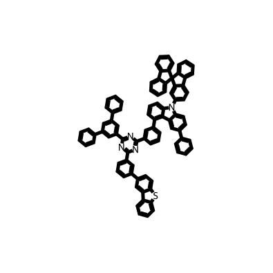 c1ccc(-c2cc(-c3ccccc3)cc(-c3nc(-c4cccc(-c5ccc6sc7ccccc7c6c5)c4)nc(-c4cccc(-c5cccc6c5c5cc(-c7ccccc7)ccc5n6-c5ccc6c(c5)C5(c7ccccc7-c7ccccc75)c5ccccc5-6)c4)n3)c2)cc1